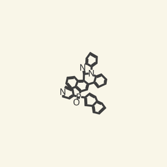 O=P(c1ccncc1)(c1ccc2ccccc2c1)c1cc2c3ccccc3n3c4ccccc4nc3c2c2ccccc12